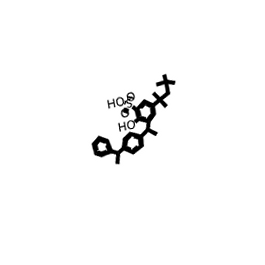 CC(c1ccccc1)c1ccc(C(C)c2cc(C(C)(C)CC(C)(C)C)cc(S(=O)(=O)O)c2O)cc1